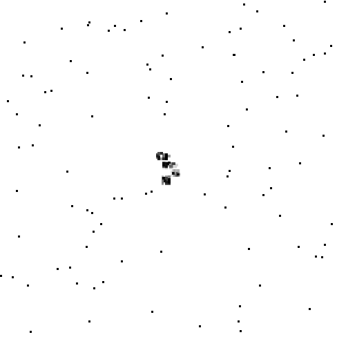 [Cu].[Mn].[Ni].[Si]